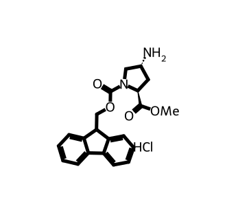 COC(=O)[C@@H]1C[C@@H](N)CN1C(=O)OCC1c2ccccc2-c2ccccc21.Cl